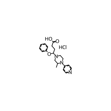 CC1CN(C(CCC(=O)O)Oc2ccccc2)CCN1c1ccncc1.Cl